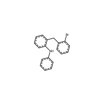 Brc1ccccc1Cc1ccccc1Nc1ccccc1